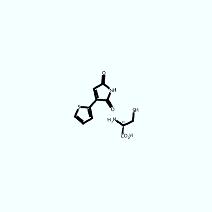 N[C@@H](CS)C(=O)O.O=C1C=C(c2cccs2)C(=O)N1